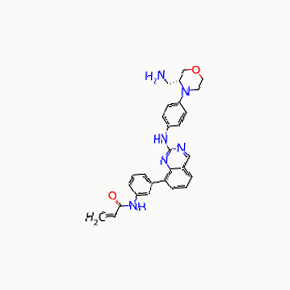 C=CC(=O)Nc1cccc(-c2cccc3cnc(Nc4ccc(N5CCOC[C@H]5CN)cc4)nc23)c1